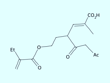 C=C(CC)C(=O)OCCC(C=C(C)C(=O)O)C(=O)CC(C)=O